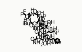 CC[C@H](C)[C@H](NC(=O)[C@H](NC(=O)[C@@H](CCC(N)=O)NC(=O)[C@H](CO)NC(=O)[C@H](CCCCN)NC(=O)[C@@H](Cc1ccccc1)NC)[C@@H](C)CC)C(=O)N[C@@H](CO)C(=O)N[C@H]1C(=O)N[C@@H](C)C(=O)N[C@@]2(C[C@H]2CC(F)F)C(=O)N[C@@H]([C@@H](C)CC)C(=O)O[C@H]1C